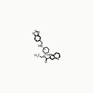 CCN(C(=O)c1cc2ncccc2[nH]1)[C@H]1CCC[C@@H](NCc2ccc3nsnc3c2)C1